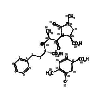 CCOC(=O)[C@H](CCc1ccccc1)N[C@@H](C)C(=O)N1C(=O)N(C)C[C@H]1C(=O)O.Cc1cnc(C(=O)O)c[n+]1[O-]